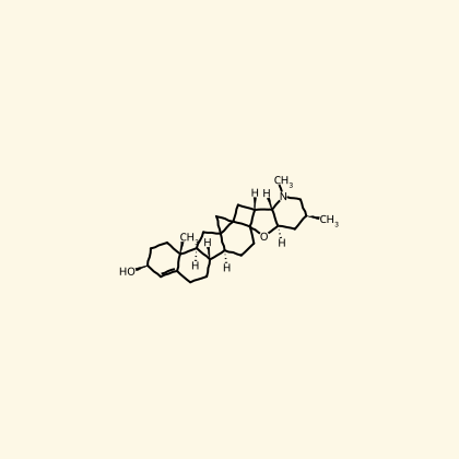 C[C@H]1C[C@H]2OC34CC[C@H]5[C@@H]6CCC7=C[C@@H](O)CC[C@]7(C)[C@H]6CC56CC63C[C@@H]4[C@@H]2N(C)C1